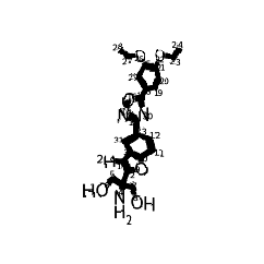 [2H]c1c(C(N)(CO)CO)oc2ccc(-c3noc(-c4ccc(OCC)c(OCC)c4)n3)cc12